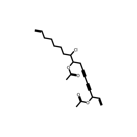 C=CCCCCCC(Cl)C(CC#CC#CC(C=C)OC(C)=O)OC(C)=O